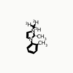 [2H]C([2H])([2H])N1C=CN(c2ccccc2C)[C@H]1C